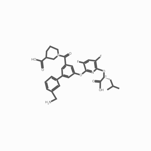 CC(C)C[C@@H](Oc1nc(Oc2cc(C(=O)N3CCCC(C(=O)O)C3)cc(-c3cccc(CN)c3)c2)c(F)cc1F)C(=O)O